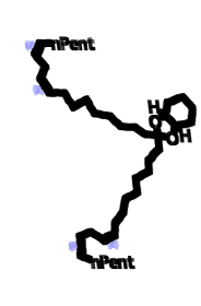 CCCCC/C=C\C/C=C\CCCCCCCCC1(CCCCCCCC/C=C\C/C=C\CCCCC)O[C@H]2CCCC[C@H]2O1